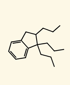 CCCC1Cc2ccccc2C1(CCC)CCC